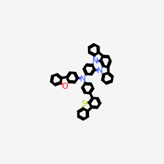 c1ccc2c(c1)oc1cc(N(c3ccc(-c4cccc5c4sc4ccccc45)cc3)c3ccc4c(c3)n3c5ccccc5c5ccc6c7ccccc7n4c6c53)ccc12